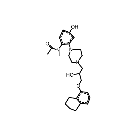 CC(=O)Nc1ccc(O)cc1N1CCN(CC(O)COc2cccc3c2CCCC3)CC1